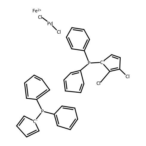 Clc1cc[c-](P(c2ccccc2)c2ccccc2)c1Cl.[Cl][Pd][Cl].[Fe+2].c1ccc(P(c2ccccc2)[c-]2cccc2)cc1